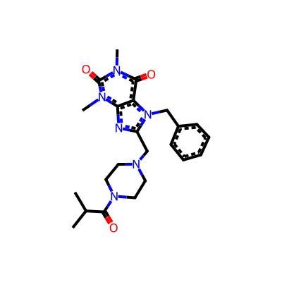 CC(C)C(=O)N1CCN(Cc2nc3c(c(=O)n(C)c(=O)n3C)n2Cc2ccccc2)CC1